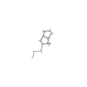 CCSc1cc2nccn2[nH]1